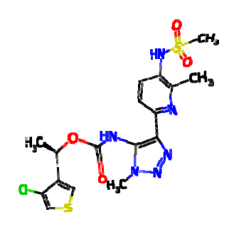 Cc1nc(-c2nnn(C)c2NC(=O)O[C@H](C)c2cscc2Cl)ccc1NS(C)(=O)=O